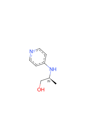 C[C@@H](CO)Nc1ccncc1